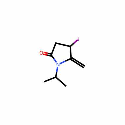 C=C1C(I)CC(=O)N1C(C)C